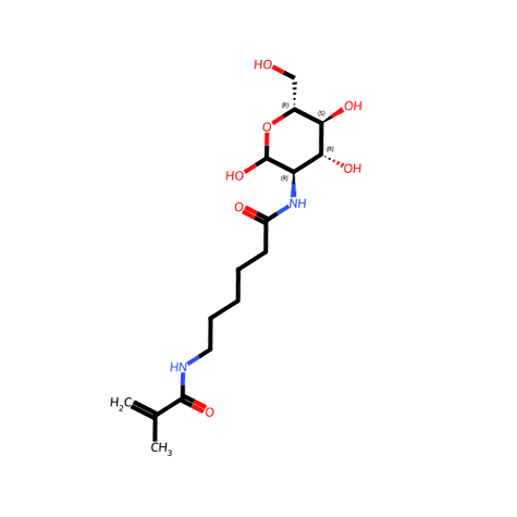 C=C(C)C(=O)NCCCCCC(=O)N[C@H]1C(O)O[C@H](CO)[C@@H](O)[C@@H]1O